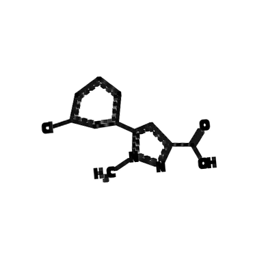 Cn1nc(C(=O)O)cc1-c1cccc(Cl)c1